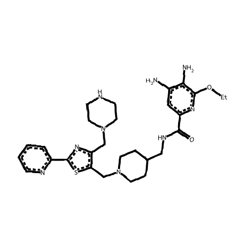 CCOc1nc(C(=O)NCC2CCN(Cc3sc(-c4ccccn4)nc3CN3CCNCC3)CC2)cc(N)c1N